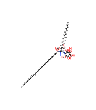 CC#CC#CC#CC#CC#CC#CC#CC#CC#CC#CC#CC#CC(=O)N[C@@H](CN[C@H]1[C@H](O)[C@H](O)[C@@H](O)[C@H](O)[C@H]1O)[C@H](O)[C@H](O)CCCCCCCCCCCCCC